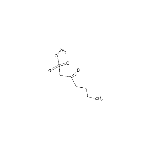 CCCCC(=O)CS(=O)(=O)OP